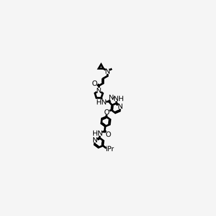 CC(C)c1ccnc(NC(=O)c2ccc(Oc3ccnc4[nH]nc(NC5CCN(C(=O)C=CCN(C)C6CC6)C5)c34)cc2)c1